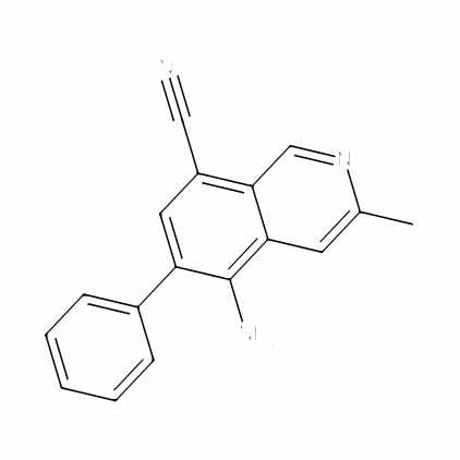 Cc1cc2c(N)c(-c3ccccc3)cc(C#N)c2cn1